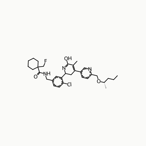 CCC[C@H](C)OCc1ccc(C2=C(C)C(O)=NC(c3cc(CNC(=O)C4(CF)CCCCC4)ccc3Cl)C2)cn1